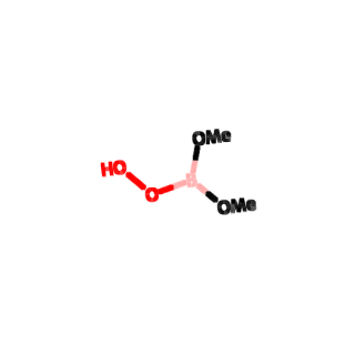 COB(OC)OO